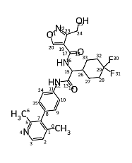 Cc1ccnc(C)c1-c1ccc(NC(=O)C(NC(=O)c2conc2CO)C2CCC(F)(F)CC2)cc1